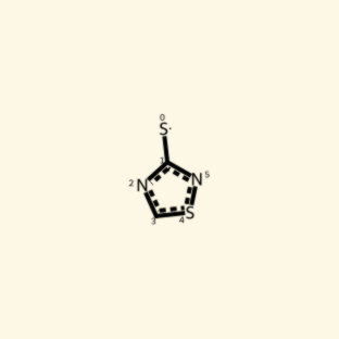 [S]c1ncsn1